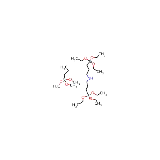 CCC[Si](OC)(OC)OC.CCO[Si](CCCNCCC[Si](OCC)(OCC)OCC)(OCC)OCC